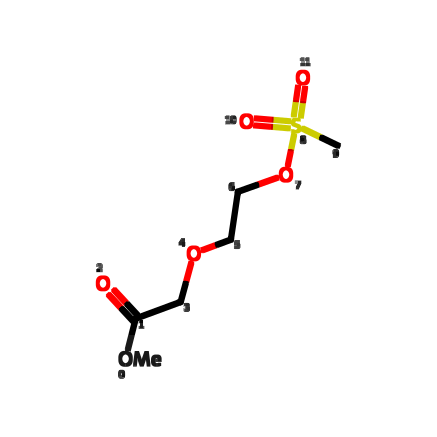 COC(=O)COCCOS(C)(=O)=O